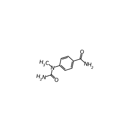 CN(C(N)=O)c1ccc(C(N)=O)cc1